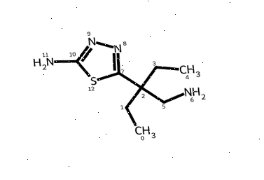 CCC(CC)(CN)c1nnc(N)s1